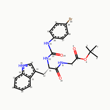 CC(C)(C)OC(=O)CNC(=O)[C@H](Cc1c[nH]c2ccccc12)NC(=O)Nc1ccc(Br)cc1